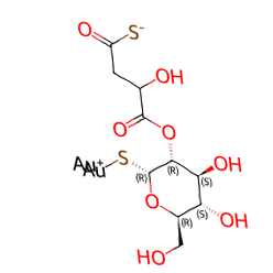 O=C([S-])CC(O)C(=O)O[C@@H]1[C@@H](O)[C@H](O)[C@@H](CO)O[C@@H]1[S][Au].[Au+]